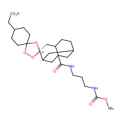 CC(C)(C)OC(=O)NCCCNC(=O)C12CC3CCC1C[C@@]1(OOC4(CCC(CC(=O)O)CC4)O1)C(C3)C2